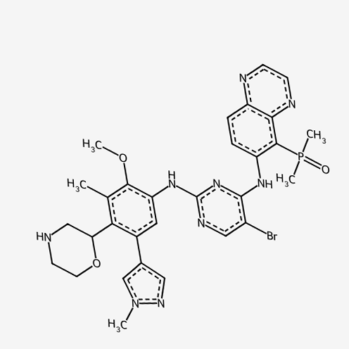 COc1c(Nc2ncc(Br)c(Nc3ccc4nccnc4c3P(C)(C)=O)n2)cc(-c2cnn(C)c2)c(C2CNCCO2)c1C